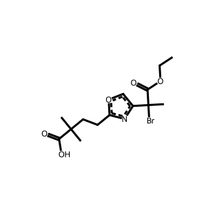 CCOC(=O)C(C)(Br)c1coc(CCC(C)(C)C(=O)O)n1